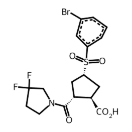 O=C(O)[C@@H]1C[C@@H](S(=O)(=O)c2cccc(Br)c2)C[C@H]1C(=O)N1CCC(F)(F)C1